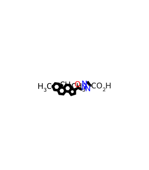 CC1CCC2(C)C(CCC3C2CCC2(C)C(C(=O)Cn4ncc(C(=O)O)n4)CCC32)C1